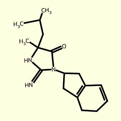 CC(C)CC1(C)NC(=N)N(C2CC3=C(CCC=C3)C2)C1=O